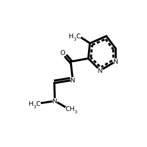 Cc1ccnnc1C(=O)N=CN(C)C